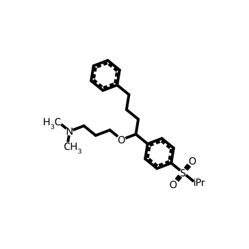 CC(C)S(=O)(=O)c1ccc(C(CCCc2ccccc2)OCCCN(C)C)cc1